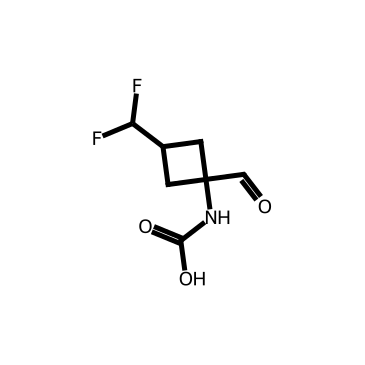 O=CC1(NC(=O)O)CC(C(F)F)C1